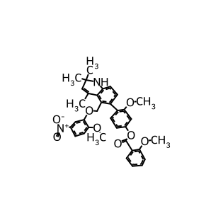 COc1ccc([N+](=O)[O-])cc1OCc1c(-c2ccc(OC(=O)c3ccccc3OC)cc2OC)ccc2c1C(C)=CC(C)(C)N2